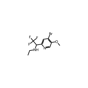 CCNC(c1cc(Br)c(OC)cn1)C(F)(F)F